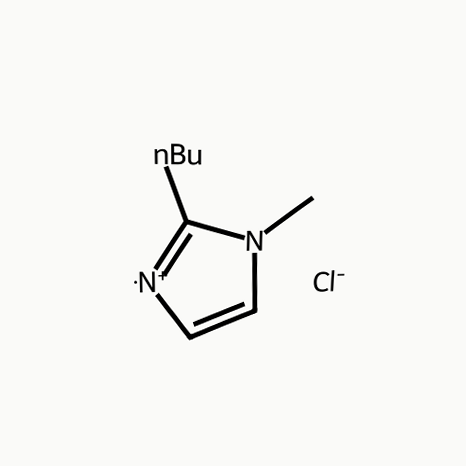 CCCCC1=[N+]C=CN1C.[Cl-]